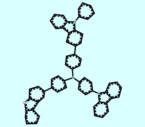 c1ccc(-n2c3ccccc3c3cc(-c4ccc(N(c5ccc(-c6ccc7oc8ccccc8c7c6)cc5)c5ccc(-n6c7ccccc7c7ccccc76)cc5)cc4)ccc32)cc1